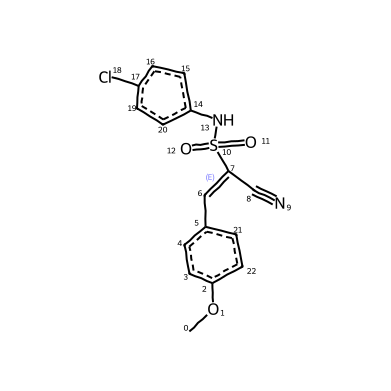 COc1ccc(/C=C(\C#N)S(=O)(=O)Nc2ccc(Cl)cc2)cc1